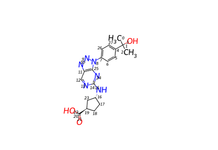 CC(C)(O)c1ccc(-n2nnc3cnc(N[C@@H]4CC[C@@H](C(=O)O)C4)nc32)cc1